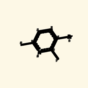 Cc1c[c]c(Br)c(C)n1